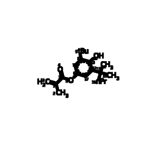 C=C(C)C(=O)Oc1cc(C(C)(C)C)c(O)c(C(C)(C)CCC)c1